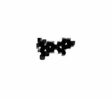 CCCN(Cc1ccc(F)cc1)c1ccc2c(C(F)(F)F)cc(=O)oc2c1